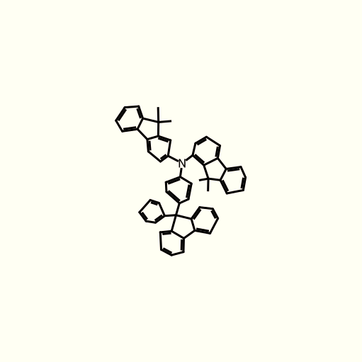 CC1(C)c2ccccc2-c2ccc(N(c3ccc(C4(c5ccccc5)c5ccccc5-c5ccccc54)cc3)c3cccc4c3C(C)(C)c3ccccc3-4)cc21